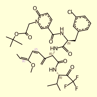 C=C(/C=C\C(=C/C)OC)[C@H](NC(=O)[C@H](Cc1cccc(Cl)c1)NC(=O)c1ccc(=O)n(CC(=O)OC(C)(C)C)c1)C(=O)N[C@H](C(=O)C(F)(F)F)C(C)C